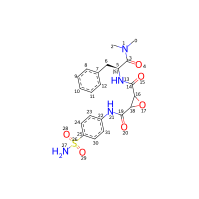 CN(C)C(=O)[C@H](Cc1ccccc1)NC(=O)C1OC1C(=O)Nc1ccc(S(N)(=O)=O)cc1